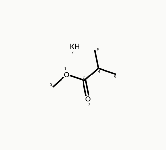 COC(=O)C(C)C.[KH]